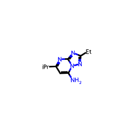 CCc1nc2nc(C(C)C)cc(N)n2n1